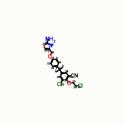 CC(C)(c1ccc(OCc2csc(N)n2)cc1)c1cc(Cl)c(OCCCl)c(C#N)c1